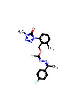 CC/C(=N/N=C(/C)c1ccc(F)cc1)OCc1c(C)cccc1-n1nnn(C)c1=O